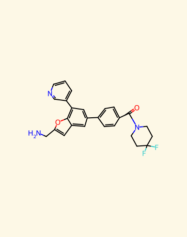 NCc1cc2cc(-c3ccc(C(=O)N4CCC(F)(F)CC4)cc3)cc(-c3cccnc3)c2o1